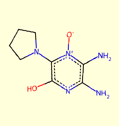 Nc1nc(O)c(N2CCCC2)[n+]([O-])c1N